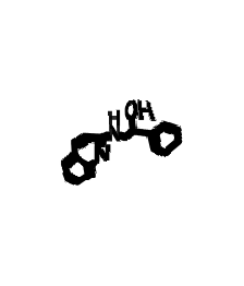 OC(CNc1ccc2ccccc2n1)c1ccccc1